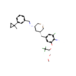 COC[C@@H](Oc1cc(C[C@@H]2C[S@@+]([O-])C[C@H](NCc3cccc(C4(C)CC4)c3)[C@H]2O)cc(F)c1N)C(F)(F)F